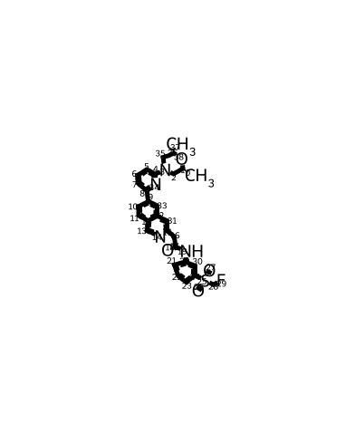 C[C@@H]1CN(c2cccc(-c3ccc4cnc(CC(=O)Nc5cccc(S(=O)(=O)CF)c5)cc4c3)n2)C[C@H](C)O1